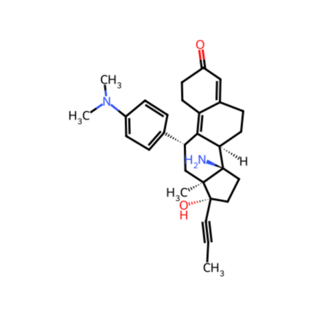 CC#C[C@]1(O)CC[C@@]2(N)[C@@H]3CCC4=CC(=O)CCC4=C3[C@@H](c3ccc(N(C)C)cc3)C[C@@]21C